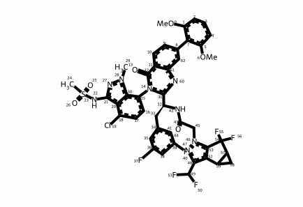 COc1cccc(OC)c1-c1ccc2c(=O)n(-c3ccc(Cl)c4c(NS(C)(=O)=O)nn(C)c34)c([C@H](Cc3cc(F)cc(F)c3)NC(=O)Cn3nc(C(F)F)c4c3C(F)(F)C3CC43)nc2c1